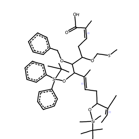 C/C=C(/C)C(C/C=C(\C)C(O[Si](c1ccccc1)(c1ccccc1)C(C)(C)C)C(OCc1ccccc1)C(C/C=C(/C)C(=O)O)OCSC)O[Si](C)(C)C(C)(C)C